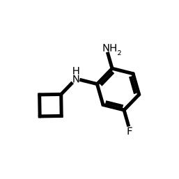 Nc1ccc(F)cc1NC1CCC1